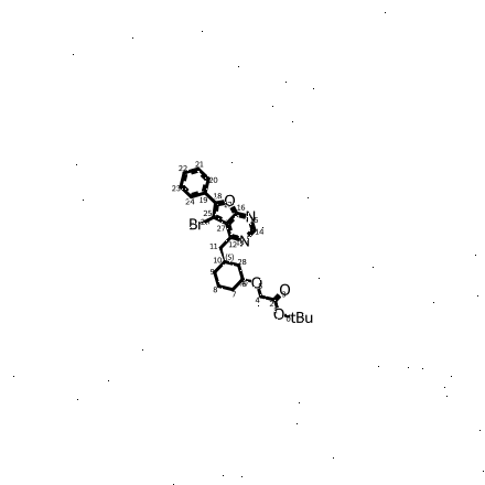 CC(C)(C)OC(=O)CO[C@H]1CCC[C@@H](Cc2ncnc3oc(-c4ccccc4)c(Br)c23)C1